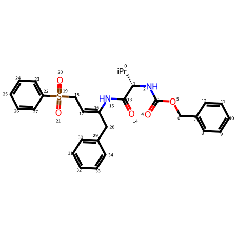 CC(C)[C@H](NC(=O)OCc1ccccc1)C(=O)N/C(=C\CS(=O)(=O)c1ccccc1)Cc1ccccc1